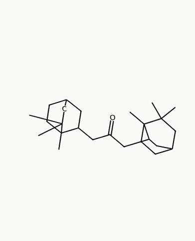 CC1(C)CC2CCC1(C)C(CC(=O)CC1CC3CCC1(C)C(C)(C)C3)C2